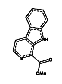 COC(=O)c1nccc2c1[nH]c1ccccc12